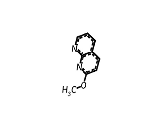 COc1ccc2cccnc2n1